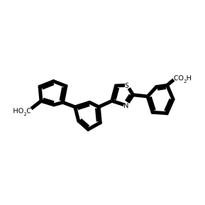 O=C(O)c1cccc(-c2cccc(-c3csc(-c4cccc(C(=O)O)c4)n3)c2)c1